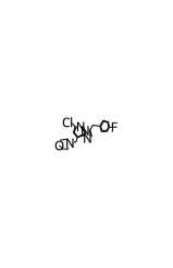 Fc1ccc(Cc2cnc3c(CN4CCOCC4)cc(Cl)nn23)cc1